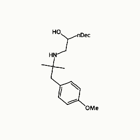 CCCCCCCCCCC(O)CNC(C)(C)Cc1ccc(OC)cc1